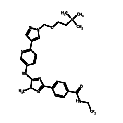 Cn1nc(-c2ccc(C(=O)NCC(F)(F)F)cc2)nc1Nc1ccc(-c2cnn(COCC[Si](C)(C)C)c2)nc1